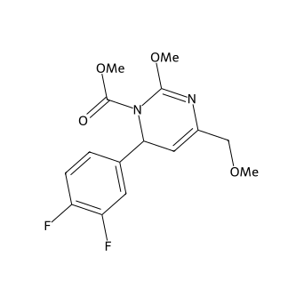 COCC1=CC(c2ccc(F)c(F)c2)N(C(=O)OC)C(OC)=N1